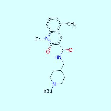 CCCCN1CCC(CNC(=O)c2cc3c(C)cccc3n(C(C)C)c2=O)CC1